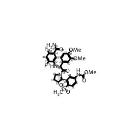 COC(=O)Nc1ccc(S(C)(=O)=O)c([C@H]2CCCN2C(=O)[C@@H](Nc2cc(C(N)=O)c(F)cc2F)c2ccc(OC)c(OC)c2)c1